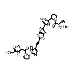 CC(=O)N[C@H](C(=O)N1CCCC1c1nc(-c2nc3sc(C#Cc4cnc([C@@H]5CCCN5C(=O)[C@@H](NC(=O)CO)C(C)C)[nH]4)nc3s2)c[nH]1)C(C)C